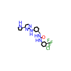 O=C(NCc1cccc(Nc2nccc(-c3ccc[nH]3)n2)c1)Nc1ccc(Cl)c(C(F)(F)F)c1